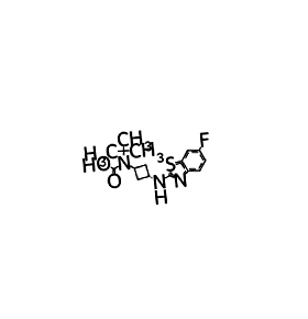 CC(C)(C)N(C(=O)O)[C@H]1C[C@H](Nc2nc3ccc(F)cc3s2)C1